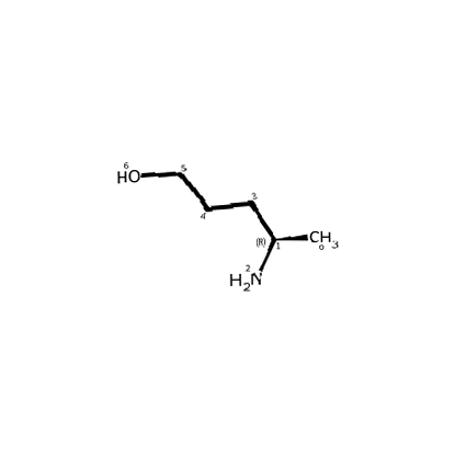 C[C@@H](N)CCCO